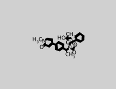 C[C@@H](c1ccc(-c2ccn(C)c(=O)c2)cc1)N1C[C@@](CC(C)(C)O)(c2ccccc2)OC1=O